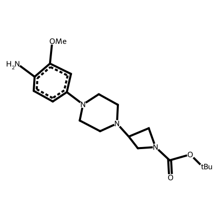 COc1cc(N2CCN(C3CN(C(=O)OC(C)(C)C)C3)CC2)ccc1N